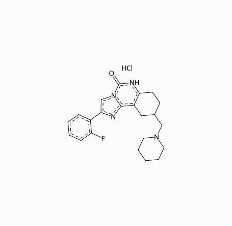 Cl.O=c1[nH]c2c(c3nc(-c4ccccc4F)cn13)CC(CN1CCCCC1)CC2